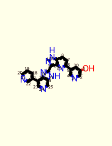 Oc1cncc(-c2ccc3[nH]nc(-c4nc5c(-c6cccnc6)cncc5[nH]4)c3n2)c1